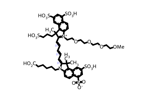 COCCOCCOCCOCC[N+]1=C(/C=C/C=C/C=C2/N(CCCCCC(=O)O)c3ccc4c(S(=O)(=O)[O-])cc(S(=O)(=O)O)cc4c3C2(C)C)C(C)(CCCS(=O)(=O)O)c2c1ccc1c(S(=O)(=O)O)cc(S(=O)(=O)O)cc21